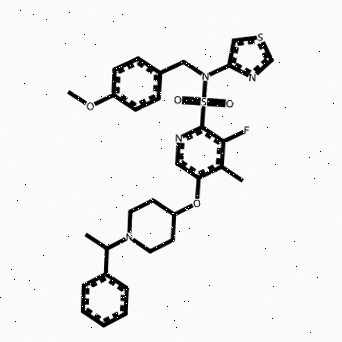 COc1ccc(CN(c2cscn2)S(=O)(=O)c2ncc(OC3CCN(C(C)c4ccccc4)CC3)c(C)c2F)cc1